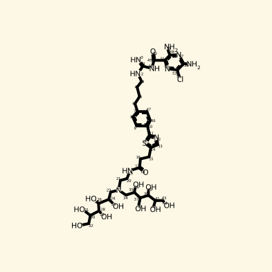 N=C(NCCCCc1ccc(-c2ncc(CCC(=O)NCCN(CC(O)C(O)C(O)C(O)CO)CC(O)C(O)C(O)C(O)CO)s2)cc1)NC(=O)c1nc(Cl)c(N)nc1N